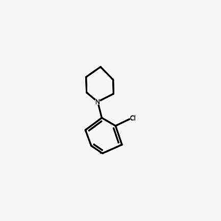 Clc1c[c]ccc1N1CCCCC1